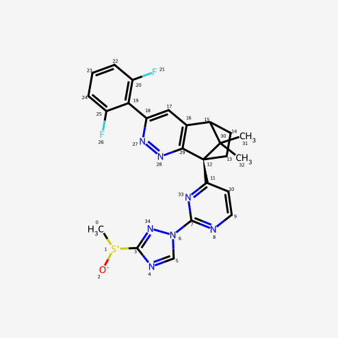 C[S+]([O-])c1ncn(-c2nccc([C@@]34CCC(c5cc(-c6c(F)cccc6F)nnc53)C4(C)C)n2)n1